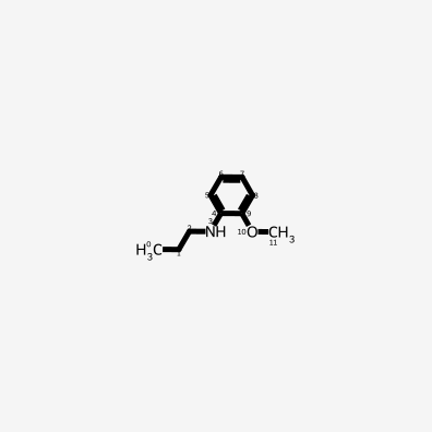 CCCNc1ccccc1OC